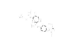 Cc1cnc(Nc2ccc3c(c2)CCC(=O)N3)nc1NCC1CC1